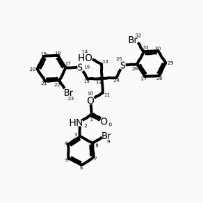 O=C(Nc1ccccc1Br)OCC(CO)(CSc1ccccc1Br)CSc1ccccc1Br